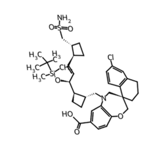 CC(C)(C)[Si](C)(C)O[C@@H](/C=C/[C@@H]1CC[C@H]1CS(N)(=O)=O)[C@@H]1CC[C@H]1CN1C[C@@]2(CCCc3cc(Cl)ccc32)COc2ccc(C(=O)O)cc21